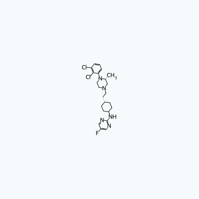 C[C@@H]1CN(CC[C@H]2CC[C@H](Nc3ncc(F)cn3)CC2)CCN1c1cccc(Cl)c1Cl